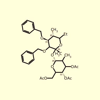 CCC1O[C@](C)(O[C@H]2OC(COC(C)=O)[C@@H](OC(C)=O)C(OC(C)=O)C2C)C(OCc2ccccc2)[C@@H](OCc2ccccc2)[C@@H]1C